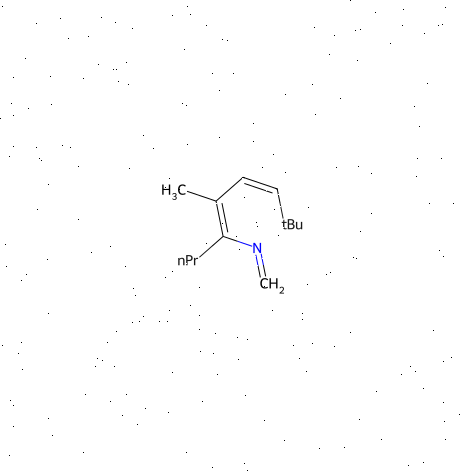 C=N/C(CCC)=C(C)\C=C/C(C)(C)C